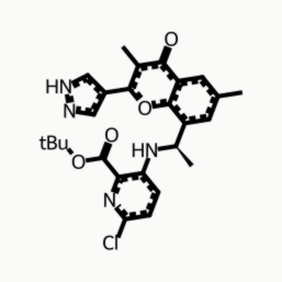 Cc1cc([C@@H](C)Nc2ccc(Cl)nc2C(=O)OC(C)(C)C)c2oc(-c3cn[nH]c3)c(C)c(=O)c2c1